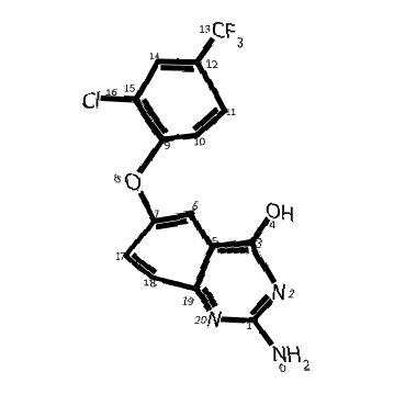 Nc1nc(O)c2cc(Oc3ccc(C(F)(F)F)cc3Cl)ccc2n1